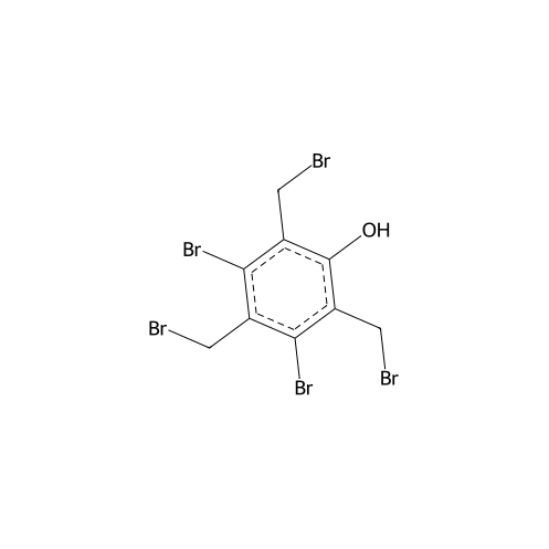 Oc1c(CBr)c(Br)c(CBr)c(Br)c1CBr